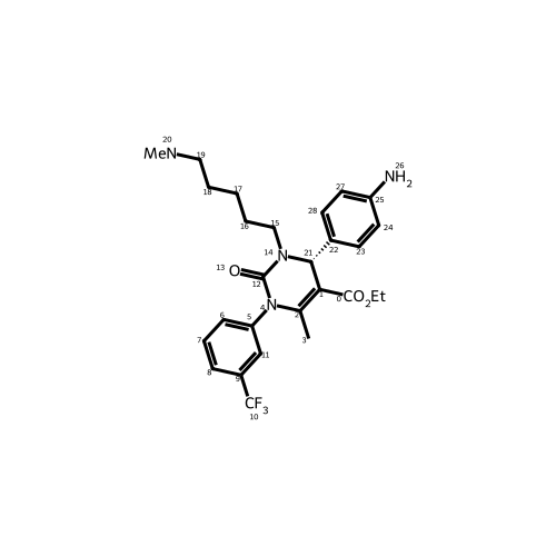 CCOC(=O)C1=C(C)N(c2cccc(C(F)(F)F)c2)C(=O)N(CCCCCNC)[C@@H]1c1ccc(N)cc1